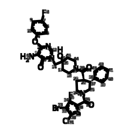 Nc1c(Oc2ccc(F)cc2)ncn(CC2(O)CCN(C(=O)[C@@H]3CCN(C(=O)c4sc(Cl)c(Br)c4F)C[C@H]3c3ccccc3)CC2)c1=O